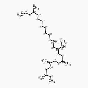 C=C(CCC(=C)SCC(C)CC)CCC(CPCCCCCCCCC(C)CCC)NC